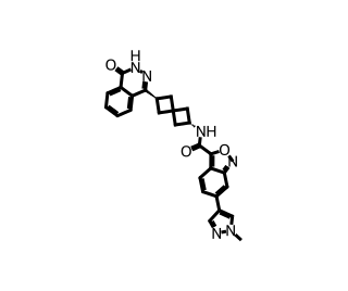 Cn1cc(-c2ccc3c(C(=O)N[C@H]4CC5(C4)C[C@H](c4n[nH]c(=O)c6ccccc64)C5)onc3c2)cn1